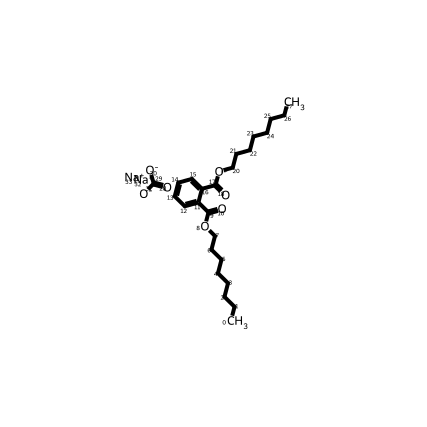 CCCCCCCCOC(=O)c1ccccc1C(=O)OCCCCCCCC.O=C([O-])[O-].[Na+].[Na+]